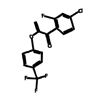 C=C(Oc1ccc(C(F)(F)F)cc1)C(=O)c1ccc(Cl)cc1F